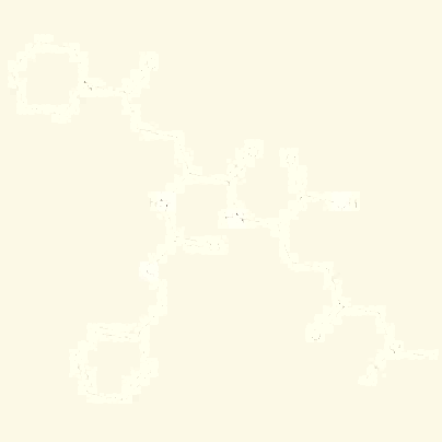 C[S+](C)CC(=O)CCC(NC(=O)C(CCC(=O)N1CCCCC1)NC(=O)OCc1ccccc1)C(=O)O